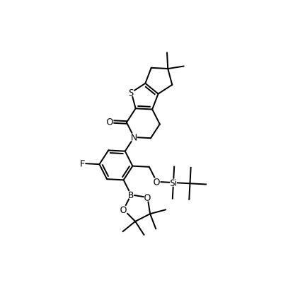 CC1(C)Cc2sc3c(c2C1)CCN(c1cc(F)cc(B2OC(C)(C)C(C)(C)O2)c1CO[Si](C)(C)C(C)(C)C)C3=O